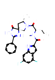 CC(C)C[C@@H](C(=O)N1C[C@@]2(C[C@H]1C#N)N=C(c1ccccc1)NC2=O)N(C)C(=O)c1cc2c(F)cc(F)cc2[nH]1